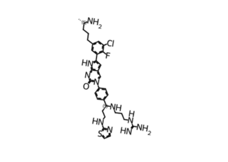 C[C@H](N)CCCc1cc(Cl)c(F)c(-c2cc3cn(-c4ccc([C@H](CCNc5nccs5)NCCCNC(=N)N)cc4)c(=O)nc3[nH]2)c1